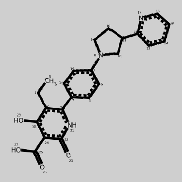 CCc1c(-c2ccc(N3CCC(c4ccccn4)C3)cc2)[nH]c(=O)c(C(=O)O)c1O